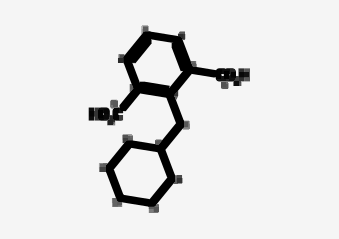 O=C(O)c1cccc(C(=O)O)c1CC1CCCCC1